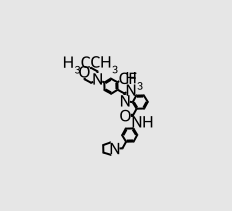 CC1(C)CN(c2ccc(-c3nc4c(C(=O)Nc5ccc(CN6CCCC6)cc5)cccc4[nH]3)c(C(F)(F)F)c2)CCO1